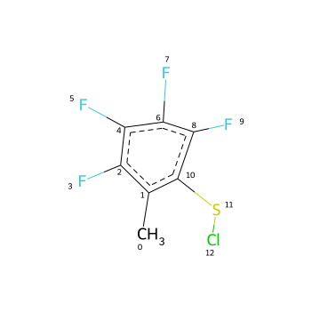 Cc1c(F)c(F)c(F)c(F)c1SCl